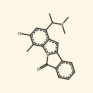 Cc1c(Cl)cc(C(C)N(C)C)c2cc3n(c12)C(=O)c1ccccc1-3